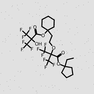 CCC1(OC(=O)C(OCCC2(OC(=O)C(O)(C(F)(F)F)C(F)(F)F)CCCCC2)(C(F)(F)F)C(F)(F)F)CCCC1